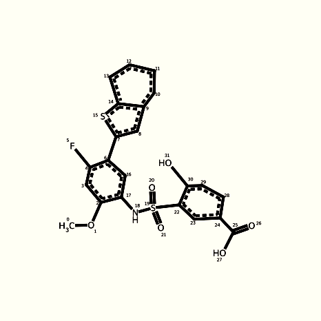 COc1cc(F)c(-c2cc3ccccc3s2)cc1NS(=O)(=O)c1cc(C(=O)O)ccc1O